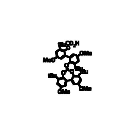 COc1cc(-c2cc(OC)cc(C(C)(C)C)c2Op2oc3c(C(C)(C)C)cc(OC)cc3c3cc(OC)cc(C(C)(C)C)c3o2)c(OC(=O)O)c(C(C)(C)C)c1